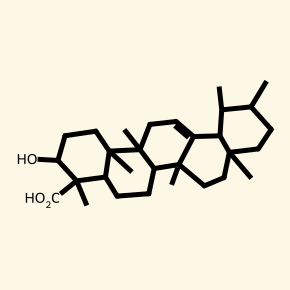 CC1CCC2(C)CCC3(C)C(=CCC4(C)C3CCC3C(C)(C(=O)O)C(O)CCC34C)C2C1C